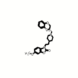 COc1ccc2c(c1)oc(=O)n2CCC1CCN(C[C@H]2COc3ccccc3O2)CC1